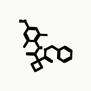 COc1cc(C)c(NC(=O)C2(C(=O)OCc3ccccc3)CCC2)c(C)c1